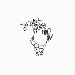 C=CC(=O)N1CCN(C(=O)N(C)C(C(=O)N[C@@]2(SC)Cc3nc(cs3)-c3ccc4c(c3)c(c(-c3cccnc3[C@H](C)OC)n4CC)CC(C)(C)COC(=O)[C@@]3(S)CCCN(N3)C2=O)C(C)C)[C@H](C)C1